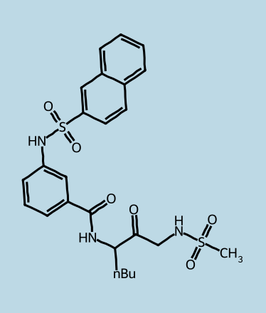 CCCCC(NC(=O)c1cccc(NS(=O)(=O)c2ccc3ccccc3c2)c1)C(=O)CNS(C)(=O)=O